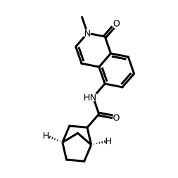 Cn1ccc2c(NC(=O)C3C[C@@H]4CC[C@H]3C4)cccc2c1=O